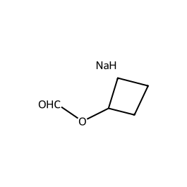 O=COC1CCC1.[NaH]